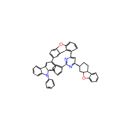 c1ccc(-c2nc(-c3cccc4oc5ccc(-c6ccc7c(c6)c6ccccc6n7-c6ccccc6)cc5c34)cc(C3CCC4c5ccccc5OC4C3)n2)cc1